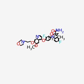 COc1cc2c(Oc3ccc(N(C(=O)C4(C(N)=O)CC4(C)C)c4ccc(F)cc4)cc3F)ccnc2cc1OCCCN1CCOCC1